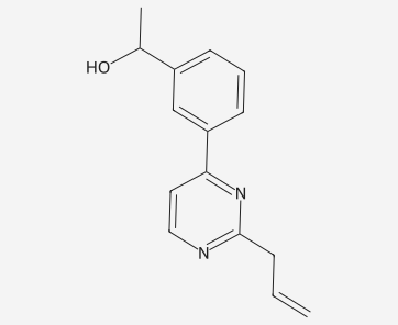 C=CCc1nccc(-c2cccc(C(C)O)c2)n1